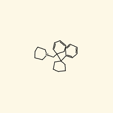 C1=CCC(CN2CCCCC2)(C2(c3ccccc3)CCCCC2)C=C1